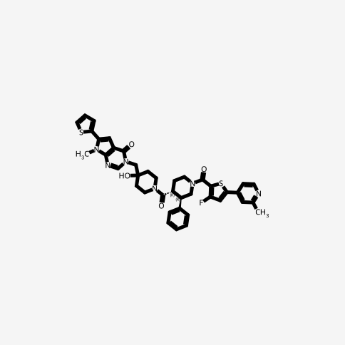 Cc1cc(-c2cc(F)c(C(=O)N3CC[C@@H](C(=O)N4CCC(O)(Cn5cnc6c(cc(-c7cccs7)n6C)c5=O)CC4)[C@H](c4ccccc4)C3)s2)ccn1